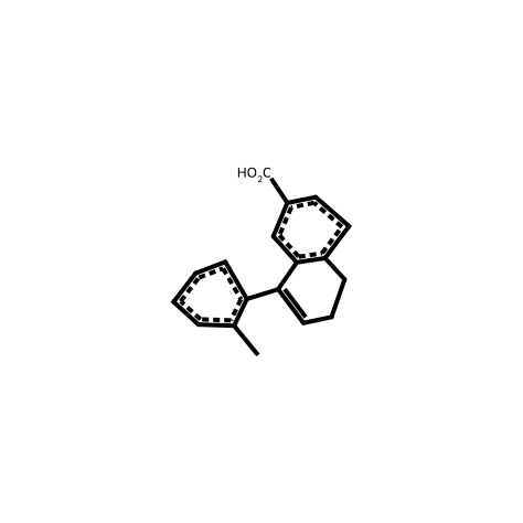 Cc1ccccc1C1=CCCc2ccc(C(=O)O)cc21